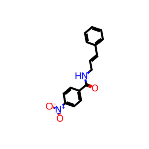 O=C(NC/C=C/c1ccccc1)c1ccc([N+](=O)[O-])cc1